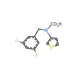 O=C(O)N(Cc1cc(F)cc(F)c1)c1ccsc1